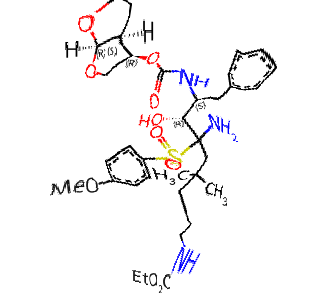 CCOC(=O)NCCCC(C)(C)CC(N)([C@H](O)[C@H](Cc1ccccc1)NC(=O)O[C@H]1CO[C@H]2OCC[C@H]21)S(=O)(=O)c1ccc(OC)cc1